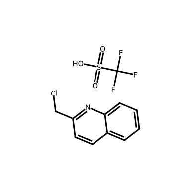 ClCc1ccc2ccccc2n1.O=S(=O)(O)C(F)(F)F